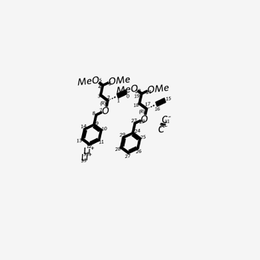 C#C[C@@H](CC(OC)OC)OCc1ccccc1.C#C[C@@H](CC(OC)OC)OCc1ccccc1.[C-]#[C-].[Li+].[Li+]